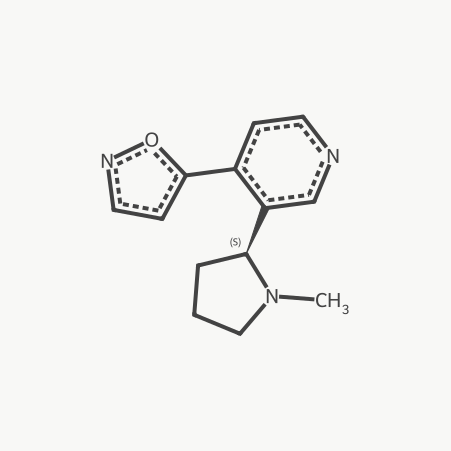 CN1CCC[C@H]1c1cnccc1-c1ccno1